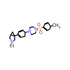 CCN1CC2CC2(C2=CCC(N3CCN(S(=O)(=O)C4=CCC(C)C=C4)CC3)C=C2)C1